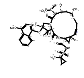 CC[C@@H]1C[C@H](C)CC/C=C\[C@@H]2C[C@@]2(C(=O)NS(=O)(=O)C2(C)CC2)NC(=O)[C@@H]2N(C[C@@](C)(Oc3ncc(OC)c4ccccc34)C2(F)F)C(=O)[C@H]1N(C(=O)O)C(C)C